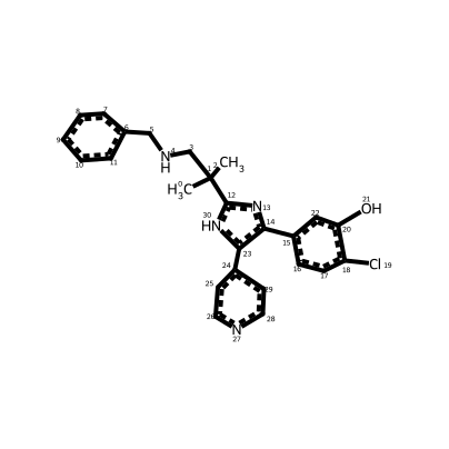 CC(C)(CNCc1ccccc1)c1nc(-c2ccc(Cl)c(O)c2)c(-c2ccncc2)[nH]1